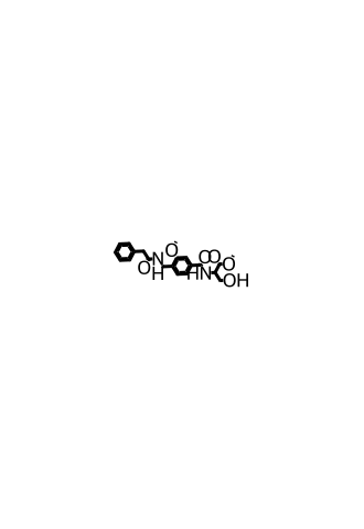 COC(=O)C(CO)NC(=O)c1ccc(CNC(=O)Cc2ccccc2)c(OC)c1